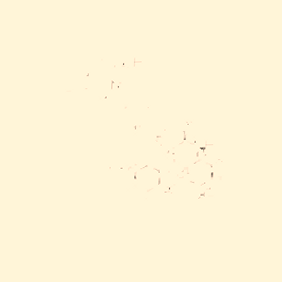 CCC1CCC(C)N(CCCC(O)CSc2c(-c3cc(Cl)ccc3O)c3cc(C(F)(F)F)ccc3[nH]c2=O)C1